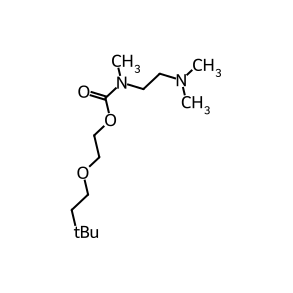 CN(C)CCN(C)C(=O)OCCOCCC(C)(C)C